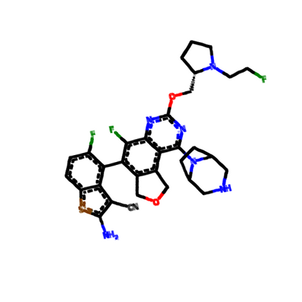 N#Cc1c(N)sc2ccc(F)c(-c3c4c(c5c(N6C7CCC6CNC7)nc(OC[C@@H]6CCCN6CCF)nc5c3F)COC4)c12